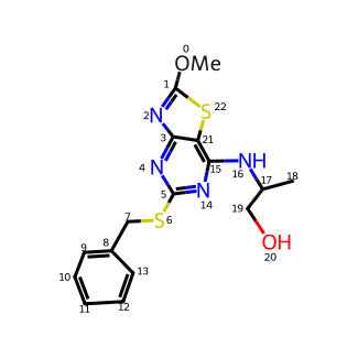 COc1nc2nc(SCc3ccccc3)nc(NC(C)CO)c2s1